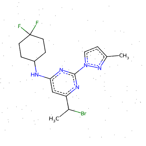 Cc1ccn(-c2nc(NC3CCC(F)(F)CC3)cc(C(C)Br)n2)n1